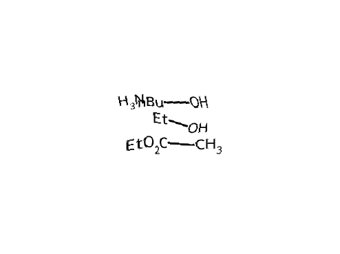 CCCCO.CCO.CCOC(C)=O.N